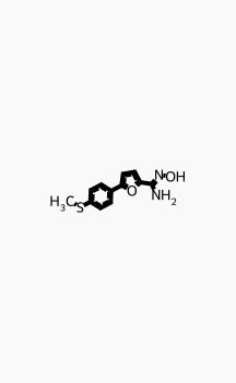 CSc1ccc(-c2ccc(C(N)=NO)o2)cc1